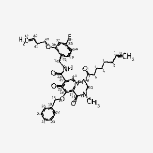 C=CCCCCCC(=O)N1CN(C)C(=O)c2c(OCc3ccccc3)c(=O)c(C(=O)NCc3ccc(F)cc3OCCC=C)cn21